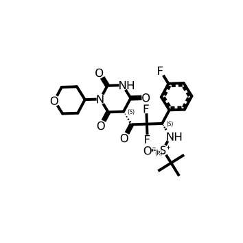 CC(C)(C)[S@+]([O-])N[C@@H](c1cccc(F)c1)C(F)(F)C(=O)[C@H]1C(=O)NC(=O)N(C2CCOCC2)C1=O